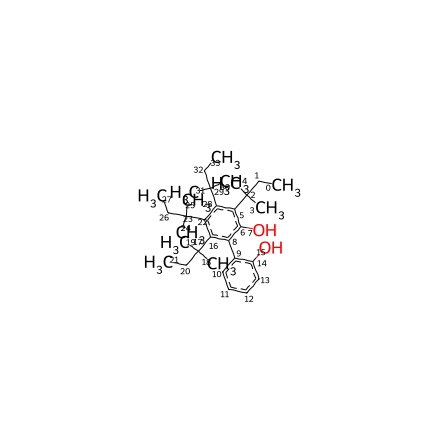 CCC(C)(C)c1c(O)c(-c2ccccc2O)c(C(C)(C)CC)c(C(C)(C)CC)c1C(C)(C)CC